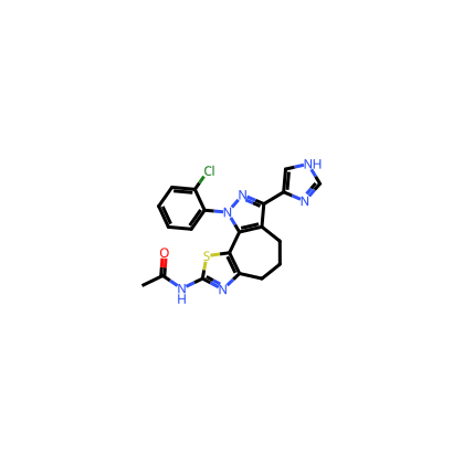 CC(=O)Nc1nc2c(s1)-c1c(c(-c3c[nH]cn3)nn1-c1ccccc1Cl)CCC2